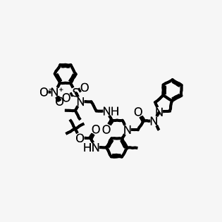 Cc1ccc(NC(=O)OC(C)(C)C)cc1N(CC(=O)NCCN(C(C)C)S(=O)(=O)c1ccccc1[N+](=O)[O-])CC(=O)N(C)N1Cc2ccccc2C1